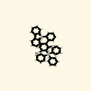 N#Cc1ccc(-c2ccccc2-n2c3ccccc3c3ccccc32)c(C#N)c1[Si](c1ccccc1)(c1ccccc1)c1ccccc1